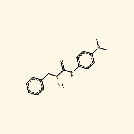 CN(C)c1ccc(NC(=O)[C@H](N)Cc2ccccc2)cc1